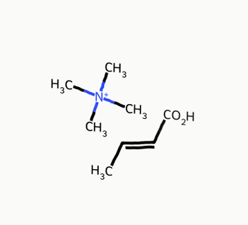 C/C=C/C(=O)O.C[N+](C)(C)C